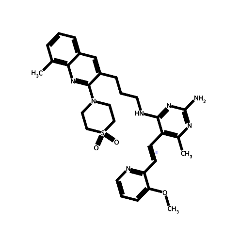 COc1cccnc1/C=C/c1c(C)nc(N)nc1NCCCc1cc2cccc(C)c2nc1N1CCS(=O)(=O)CC1